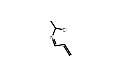 C=C/C=N\C(C)Cl